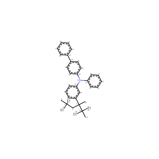 CCC(C)(CC)CC(C)(c1cccc(N(c2ccccc2)c2ccc(-c3ccccc3)cc2)c1)C(C)(CC)CC